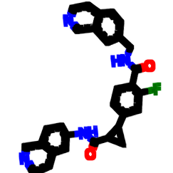 O=C(NCc1ccc2ccncc2c1)c1ccc(C2CC2C(=O)Nc2ccc3cnccc3c2)cc1F